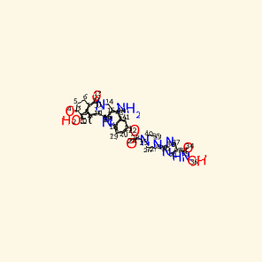 CC[C@@]1(O)C(=O)CCc2c1cc1n(c2=O)Cc2c-1nc1ccc(OC(=O)N3CCN(c4ncc(C(=O)NO)cn4)CC3)cc1c2N